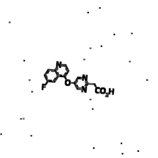 O=C(O)Cc1ncc(Oc2ccnc3ccc(F)cc23)cn1